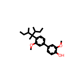 CCC(C)C(C)(c1ccc(-c2ccc(O)c(OC)c2)cc1OC)C(C)CC